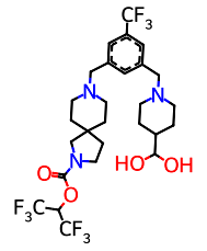 O=C(OC(C(F)(F)F)C(F)(F)F)N1CCC2(CCN(Cc3cc(CN4CCC(C(O)O)CC4)cc(C(F)(F)F)c3)CC2)C1